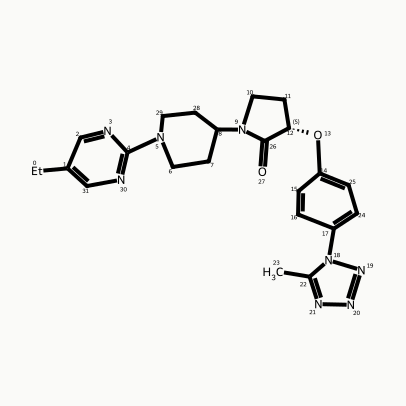 CCc1cnc(N2CCC(N3CC[C@H](Oc4ccc(-n5nnnc5C)cc4)C3=O)CC2)nc1